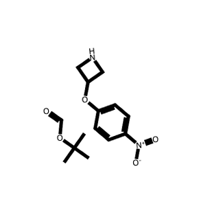 CC(C)(C)OC=O.O=[N+]([O-])c1ccc(OC2CNC2)cc1